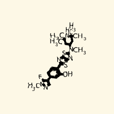 CN(c1nc2sc(-c3ccc(-c4cnn(C)c4F)cc3O)nc2s1)C1CC(C)(C)NC(C)(C)C1